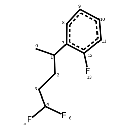 CC(CCC(F)F)c1ccccc1F